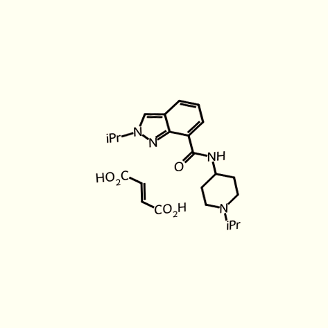 CC(C)N1CCC(NC(=O)c2cccc3cn(C(C)C)nc23)CC1.O=C(O)/C=C/C(=O)O